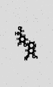 COc1cc2nccc(Oc3ccc(NC=O)cc3F)c2cc1C#N